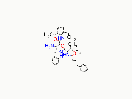 CCc1cccc(CC)c1NC(=O)C[C@H](N)[C@H](Cc1ccccc1)NC(=O)[C@@H](NC(=O)CCCc1ccccc1)C(C)C